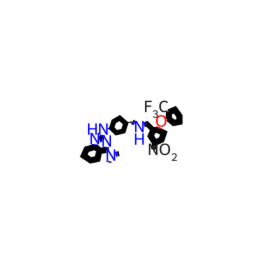 CN(C)c1nc(N[C@H]2CC[C@@H](CNCc3cc([N+](=O)[O-])ccc3Oc3ccccc3C(F)(F)F)CC2)nc2ccccc12